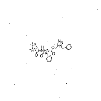 C[C@@H]1N2C(=O)[C@@H](NC(=O)[C@H](NC(=O)OCc3cnnn3Cc3ccccc3)c3ccccc3)C2SC1(C)C